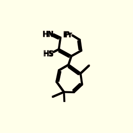 CC1=C(C(/C=C\C(C)C)=C(\S)C=N)C=CC(C)(C)C=C1